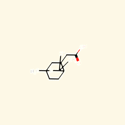 CC12CCC(C(CC(=O)O)C1)C(C)(C)C2